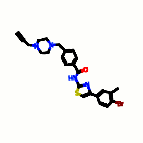 C#CCN1CCN(Cc2ccc(C(=O)Nc3nc(-c4ccc(Br)c(C)c4)cs3)cc2)CC1